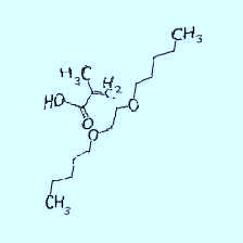 C=C(C)C(=O)O.CCCCCOCCOCCCCC